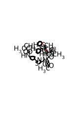 COC(=O)C(CO[Si](c1ccccc1)(c1ccccc1)C(C)(C)C)NC(=O)C(COC(C)=O)NC(=O)c1csc(-c2ccc(NC(=O)OC(C)(C)C)cc2)n1